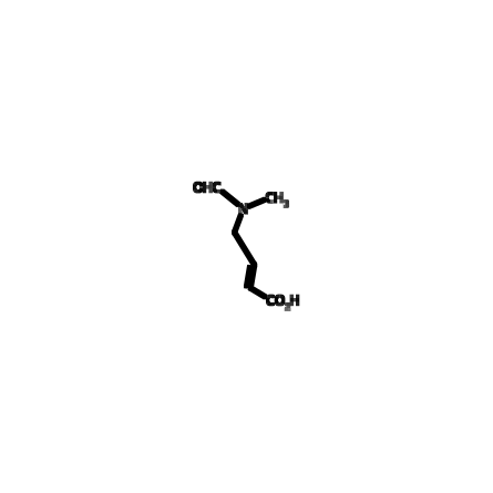 CN(C=O)C/C=C/C(=O)O